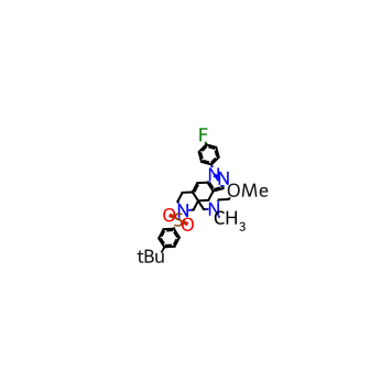 COCCN(C)CC12Cc3cnn(-c4ccc(F)cc4)c3C=C1CCN(S(=O)(=O)c1ccc(C(C)(C)C)cc1)C2